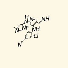 Cc1cc(Nc2cc(Nc3c(F)cc(C#N)cc3Cl)c(C=N)cn2)ncn1